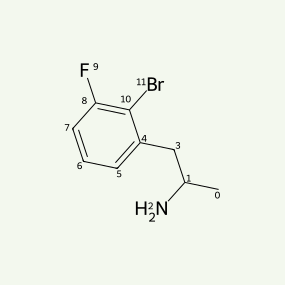 CC(N)Cc1cccc(F)c1Br